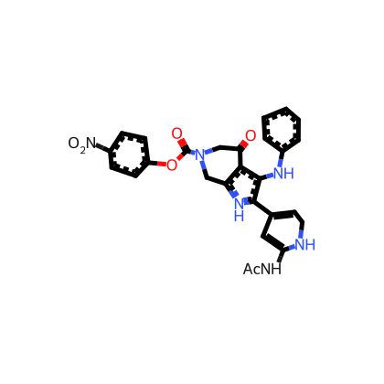 CC(=O)NC1=CC(c2[nH]c3c(c2Nc2ccccc2)C(=O)CN(C(=O)Oc2ccc([N+](=O)[O-])cc2)C3)=CCN1